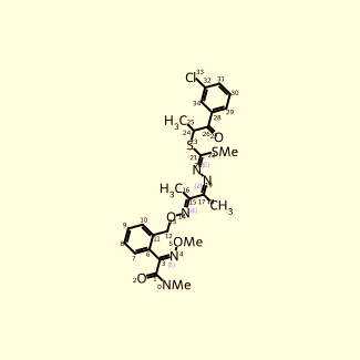 CNC(=O)/C(=N/OC)c1ccccc1CO/N=C(C)/C(C)=N\N=C(/SC)SC(C)C(=O)c1cccc(Cl)c1